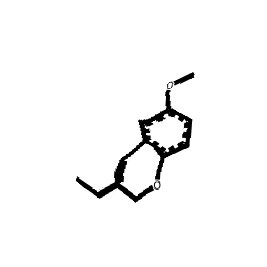 CCC1=Cc2cc(OC)ccc2OC1